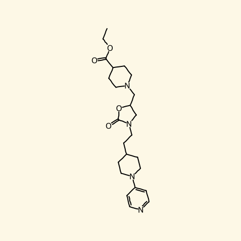 CCOC(=O)C1CCN(CC2CN(CCC3CCN(c4ccncc4)CC3)C(=O)O2)CC1